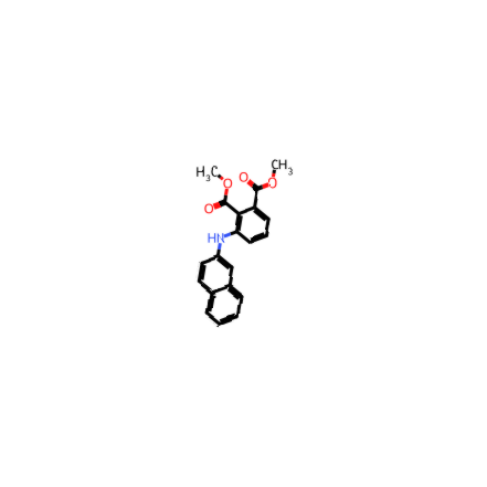 COC(=O)c1cccc(Nc2ccc3ccccc3c2)c1C(=O)OC